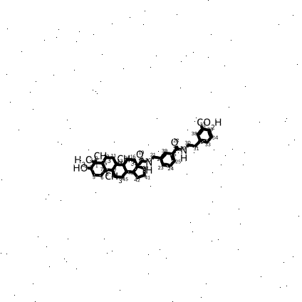 CC1(C)C(O)CCC2(C)C1CCC1(C)C3CCC4(C(=O)NCc5cccc(C(=O)NCCc6cccc(C(=O)O)c6)c5)CCCC4C3CCC12